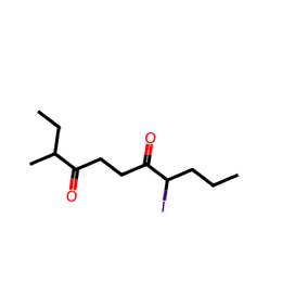 CCCC(I)C(=O)CCC(=O)C(C)CC